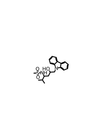 CC(C)C(CC(O)Cn1c2ccccc2c2ccccc21)NS(C)(=O)=O